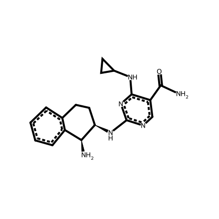 NC(=O)c1cnc(N[C@@H]2CCc3ccccc3[C@@H]2N)nc1NC1CC1